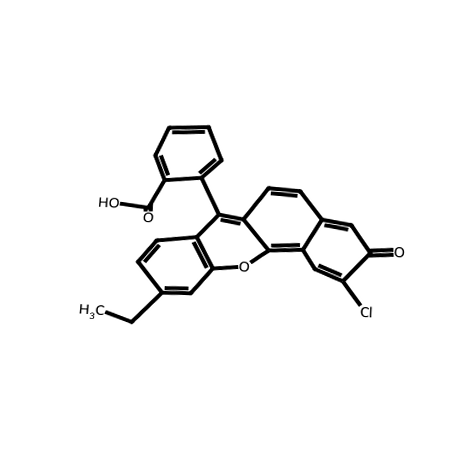 CCc1ccc2c(-c3ccccc3C(=O)O)c3ccc4cc(=O)c(Cl)cc4c3oc2c1